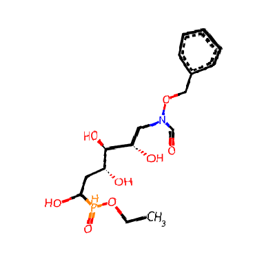 CCO[PH](=O)C(O)C[C@@H](O)[C@@H](O)[C@@H](O)CN(C=O)OCc1ccccc1